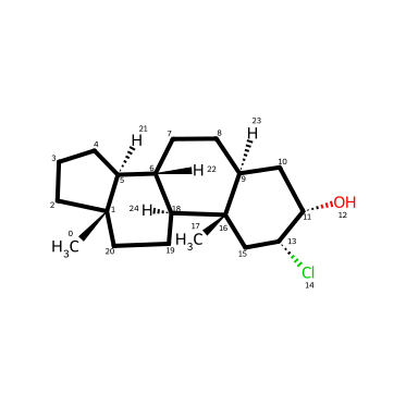 C[C@@]12CCC[C@H]1[C@@H]1CC[C@H]3C[C@H](O)[C@H](Cl)C[C@]3(C)[C@H]1CC2